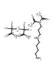 NCCCCNCCCN(C(=O)C(F)(F)F)C(=O)C(F)(F)F.O=C(O)C(F)(F)F.O=C(O)C(F)(F)F